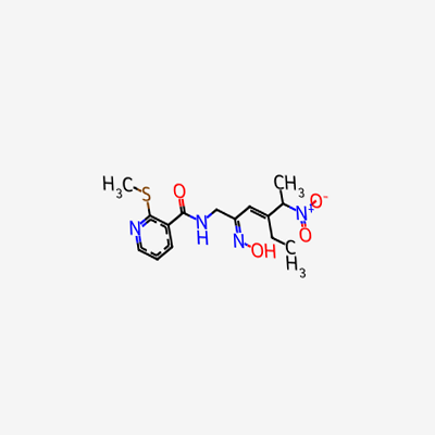 CCC(=CC(CNC(=O)c1cccnc1SC)=NO)C(C)[N+](=O)[O-]